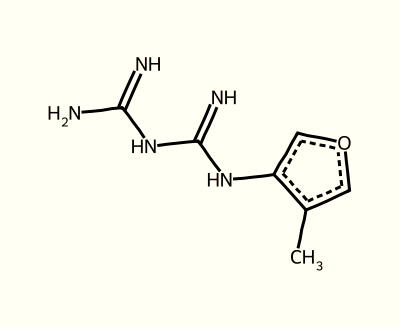 Cc1cocc1NC(=N)NC(=N)N